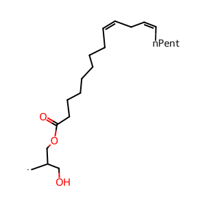 [CH2]C(CO)COC(=O)CCCCCCC/C=C\C/C=C\CCCCC